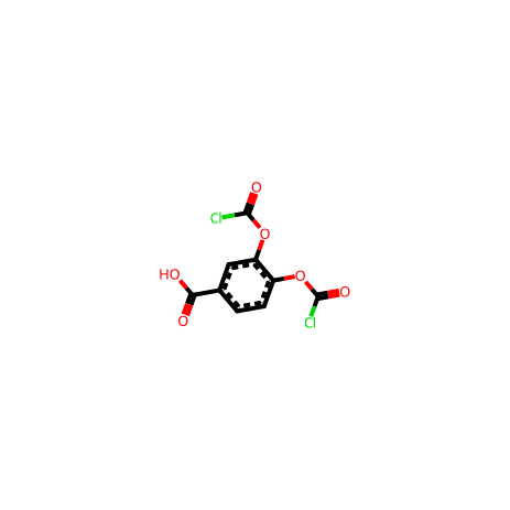 O=C(Cl)Oc1ccc(C(=O)O)cc1OC(=O)Cl